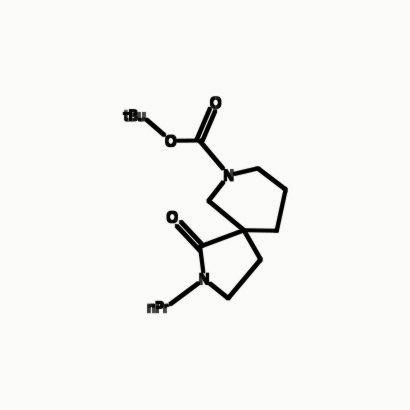 CCCN1CCC2(CCCN(C(=O)OC(C)(C)C)C2)C1=O